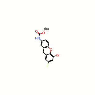 CC(C)(C)OC(=O)Nc1ccc2c(c1)Cc1cc(F)cc(Br)c1O2